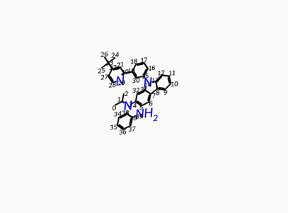 CC(C)N(c1ccc2c3ccccc3n(-c3cccc(-c4cc(C(C)(C)C)ccn4)c3)c2c1)c1ccccc1N